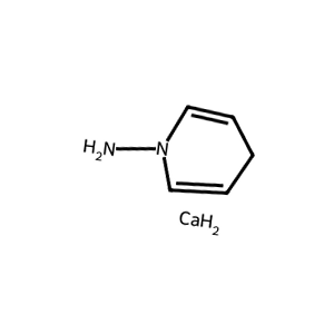 NN1C=CCC=C1.[CaH2]